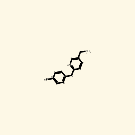 NCc1ccc(Cc2ccc(F)cc2)nc1